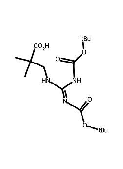 CC(C)(C)OC(=O)/N=C(/NCC(C)(C)C(=O)O)NC(=O)OC(C)(C)C